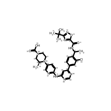 CC(NC(=O)c1nc(C(C)(C)C)no1)c1ccc(-c2cc(Nc3ccc(N4CCN(C(=O)O)C[C@@H]4C)cn3)ncn2)cc1Cl